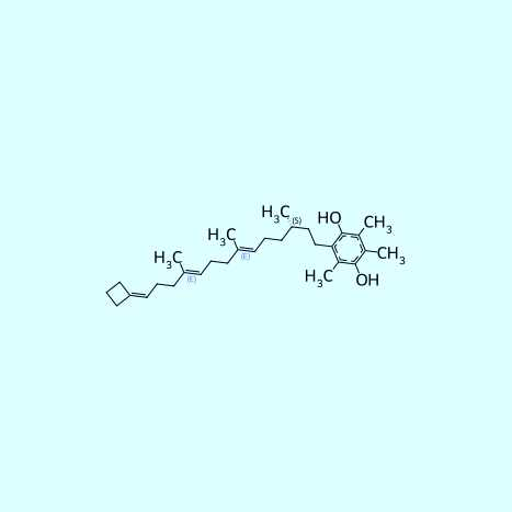 C/C(=C\CC/C(C)=C/CC[C@H](C)CCc1c(C)c(O)c(C)c(C)c1O)CCC=C1CCC1